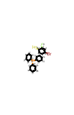 Fc1cc(Br)ccc1S.c1ccc(P(c2ccccc2)c2ccccc2)cc1